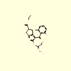 CCOC(=O)C1Cc2sc3c(c2C1)C(c1c(F)cccc1Cl)=NC/C(=N\N)N3